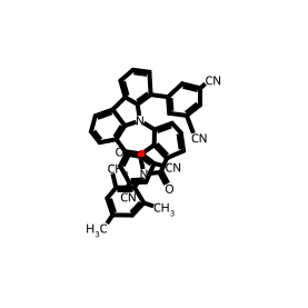 Cc1cc(C)c(N2C(=O)c3cccc(-n4c5c(-c6cc(C#N)cc(C#N)c6)cccc5c5cccc(-c6cc(C#N)cc(C#N)c6)c54)c3C2=O)c(C)c1